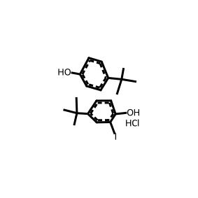 CC(C)(C)c1ccc(O)c(I)c1.CC(C)(C)c1ccc(O)cc1.Cl